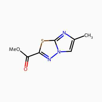 COC(=O)c1nn2cc(C)nc2s1